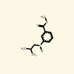 COC(=O)c1cccc([S+]([O-])CC(C)C)c1